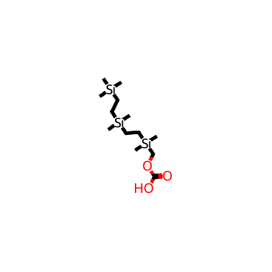 C[Si](C)(C)CC[Si](C)(C)CC[Si](C)(C)COC(=O)O